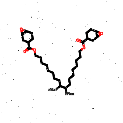 CCCCCCCCCC(CCCCCCCCOC(=O)C1CCC2OC2C1)C(CCCCCCCCC)CCCCCCCCOC(=O)C1CCC2OC2C1